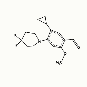 COc1cc(N2CCC(F)(F)CC2)c(C2CC2)cc1C=O